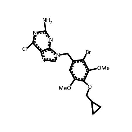 COc1cc(Cn2cnc3c(Cl)nc(N)nc32)c(Br)c(OC)c1OCC1CC1